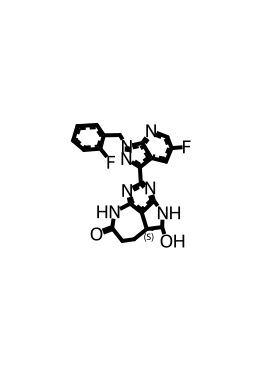 C[C@]12CCC(=O)Nc3nc(-c4nn(Cc5ccccc5F)c5ncc(F)cc45)nc(c31)NC2O